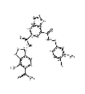 CC(=O)c1ccc2c(c1C)CC[C@@H]2NC(=O)c1cc(C(=O)NCc2ccc(F)c(C)c2)n2nnnc2n1